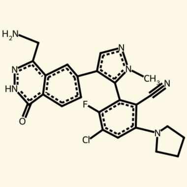 Cn1ncc(-c2ccc3c(=O)[nH]nc(CN)c3c2)c1-c1c(F)c(Cl)cc(N2CCCC2)c1C#N